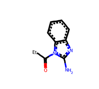 [CH2]CC(=O)n1c(N)nc2ccccc21